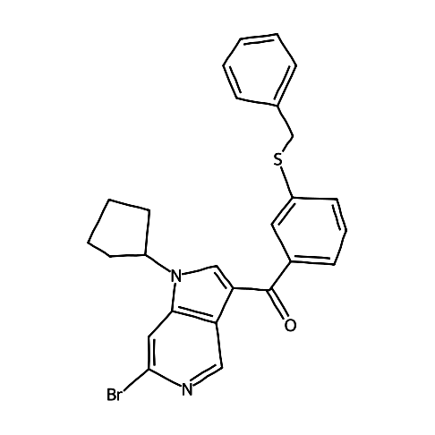 O=C(c1cccc(SCc2ccccc2)c1)c1cn(C2CCCC2)c2cc(Br)ncc12